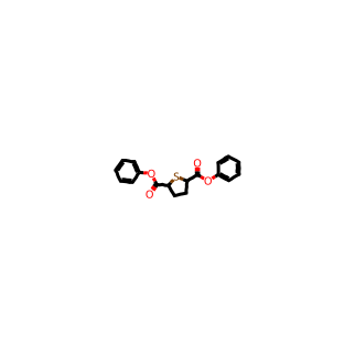 O=C(Oc1ccccc1)C1CCC(C(=O)Oc2ccccc2)S1